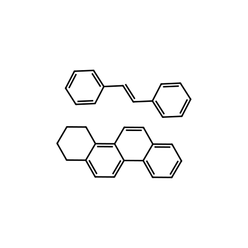 C(=Cc1ccccc1)c1ccccc1.c1ccc2c(c1)ccc1c3c(ccc12)CCCC3